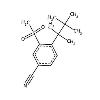 CC(C)(C)C(C)(C)c1ccc(C#N)cc1S(C)(=O)=O